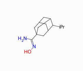 CC(C)C1C2CC3CC1CC(/C(N)=N/O)(C3)C2